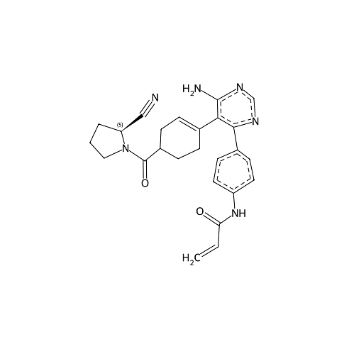 C=CC(=O)Nc1ccc(-c2ncnc(N)c2C2=CCC(C(=O)N3CCC[C@H]3C#N)CC2)cc1